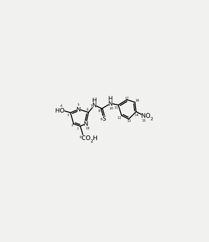 O=C(O)c1cc(O)nc(NC(=S)Nc2ccc([N+](=O)[O-])cc2)n1